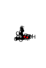 O=C(NCCN1CCOCC1)C1=Cc2c(ncnc2Nc2ccc(Oc3cccc(C(F)(F)F)c3)c(Cl)c2)NCC1.O=C(O)C(F)(F)F.O=C(O)C(F)(F)F